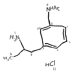 CC(=O)Nc1cccc(CC(C)N)c1.Cl